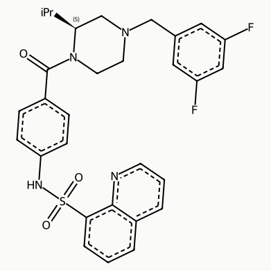 CC(C)[C@H]1CN(Cc2cc(F)cc(F)c2)CCN1C(=O)c1ccc(NS(=O)(=O)c2cccc3cccnc23)cc1